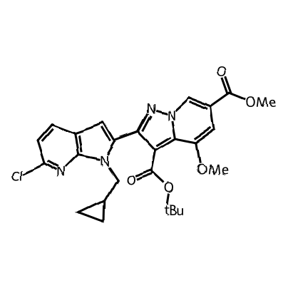 COC(=O)c1cc(OC)c2c(C(=O)OC(C)(C)C)c(-c3cc4ccc(Cl)nc4n3CC3CC3)nn2c1